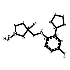 CN1CCC(F)(COc2ccc(F)cc2C2CCCC2)C1